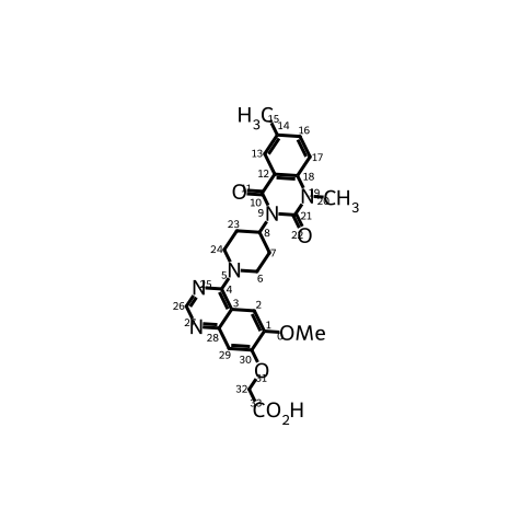 COc1cc2c(N3CCC(n4c(=O)c5cc(C)ccc5n(C)c4=O)CC3)ncnc2cc1OCC(=O)O